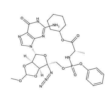 COC1O[C@H]2[C@H](n3cnc4c(=O)[nH]c(N)nc43)O[C@@](COP(=O)(N[C@@H](C)C(=O)OC3CCCCC3)Oc3ccccc3)(N=[N+]=[N-])[C@H]2O1